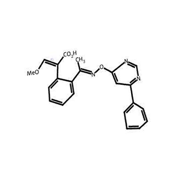 CO/C=C(/C(=O)O)c1ccccc1C(C)=NOc1cc(-c2ccccc2)ncn1